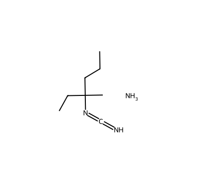 CCCC(C)(CC)N=C=N.N